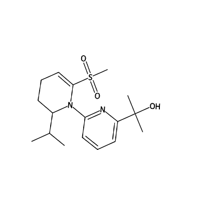 CC(C)C1CCC=C(S(C)(=O)=O)N1c1cccc(C(C)(C)O)n1